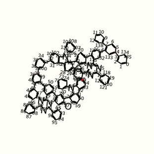 c1ccc(-c2ccc(-c3ccccc3)c(-c3ccc(-c4ccc5c(c4)oc4ccc6c7cc(-c8cccc(-c9ccc(-c%10ccccc%10)c(-c%10ccc(-c%11ccc%12oc%13ccc%14c%15ccccc%15n(-c%15ccccc%15)c%14c%13c%12c%11)c(-c%11nc(-c%12ccccc%12)nc(-c%12ccccc%12)n%11)c%10)c9)c8)ccc7n(-c7ccccc7)c6c45)c(-c4nc(-c5ccccc5)nc(-c5ccccc5)n4)c3)c2)cc1